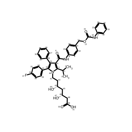 CC(C)c1c(C(=O)Nc2ccc(COC(=O)Nc3ccccc3)cc2)c(-c2ccccc2)c(-c2ccc(F)cc2)n1CC[C@@H](O)C[C@@H](O)CC(=O)O